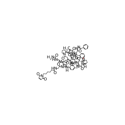 CC[C@H](C)[C@@H]([C@@H](CC(=O)N1CCC[C@H]1[C@H](OC)[C@@H](C)C(=O)N[C@@H](Cc1ccccc1)c1nnc(-c2ccccc2)o1)OC)N(C)C(=O)[C@@H](NC(=O)[C@@H]1[C@H]2CC[C@H](C2)N1C(=O)OCc1ccc(NC(=O)[C@H](CCCNC(N)=O)NC(=O)CNC(=O)CCCCCN2C(=O)C=CC2=O)cc1)C(C)C